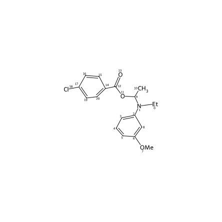 CCN(c1cccc(OC)c1)C(C)OC(=O)c1ccc(Cl)cc1